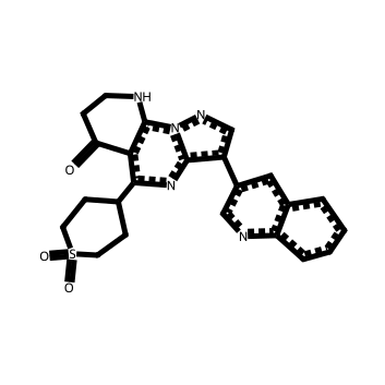 O=C1CCNc2c1c(C1CCS(=O)(=O)CC1)nc1c(-c3cnc4ccccc4c3)cnn21